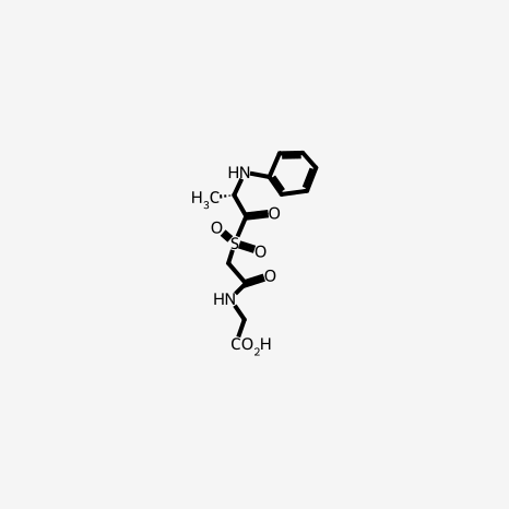 C[C@H](Nc1ccccc1)C(=O)S(=O)(=O)CC(=O)NCC(=O)O